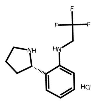 Cl.FC(F)(F)CNc1ccccc1[C@@H]1CCCN1